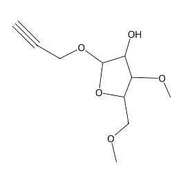 C#CCOC1OC(COC)C(OC)C1O